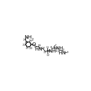 CNCCNC(C)(C)CNC(C)(C)CCNCCOc1cccc(CN)c1